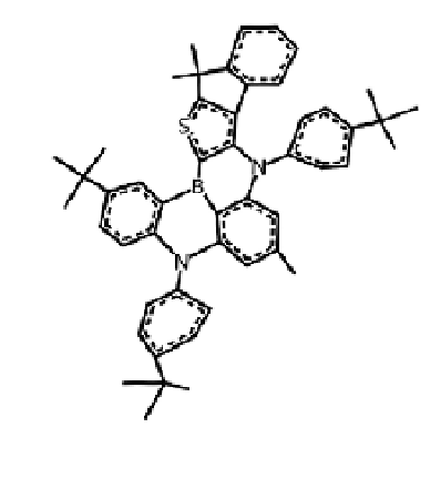 Cc1cc2c3c(c1)N(c1ccc(C(C)(C)C)cc1)c1c(sc4c1-c1ccccc1C4(C)C)B3c1cc(C(C)(C)C)ccc1N2c1ccc(C(C)(C)C)cc1